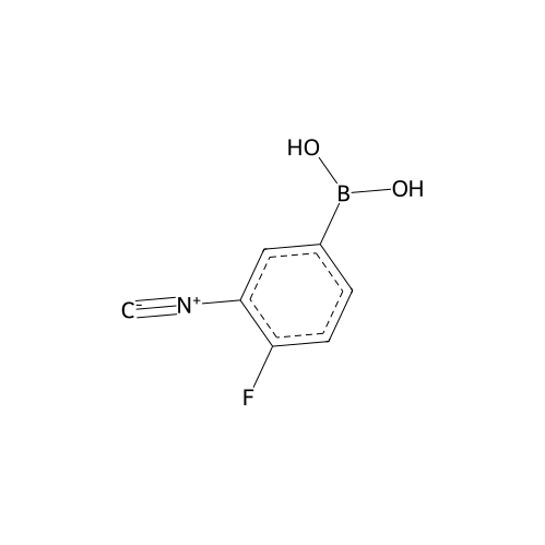 [C-]#[N+]c1cc(B(O)O)ccc1F